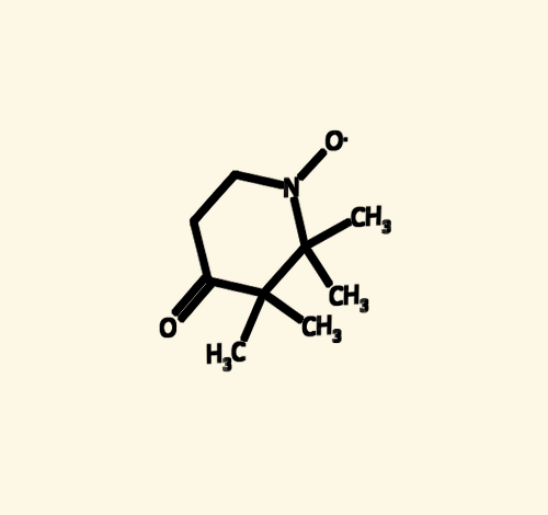 CC1(C)C(=O)CCN([O])C1(C)C